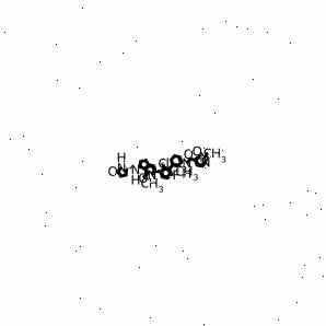 COc1nc(-c2ccc(F)c(C3=C(C)C(NC(=O)c4ccnn(C)c4=O)=CCC3)c2Cl)cc2c1[C@@H](NC[C@@H]1CCC(=O)N1)CC2